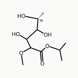 COC(C(=O)OC(C)C)C(O)C(O)[C@@H](C)O